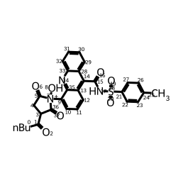 CCCCC(=O)C1CC(=O)[N+](O)(c2cccc3c(C(=O)NS(=O)(=O)c4ccc(C)cc4)c4ccccc4nc23)C1=O